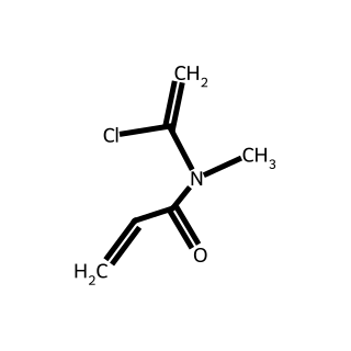 C=CC(=O)N(C)C(=C)Cl